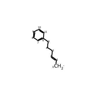 [CH2]C=CCCCc1ccccc1